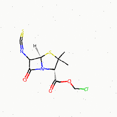 CC1(C)S[C@@H]2C(N=C=S)C(=O)N2[C@H]1C(=O)OCCl